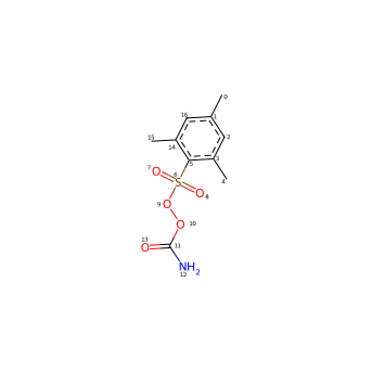 Cc1cc(C)c(S(=O)(=O)OOC(N)=O)c(C)c1